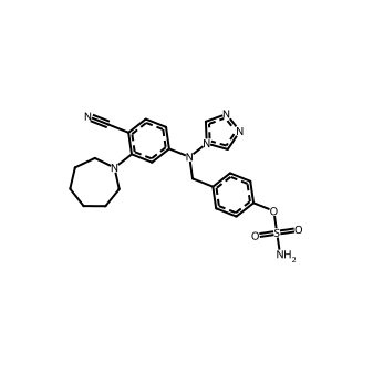 N#Cc1ccc(N(Cc2ccc(OS(N)(=O)=O)cc2)n2cnnc2)cc1N1CCCCCC1